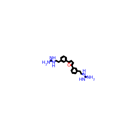 N=C(N)NCCc1cccc(-c2ccc(-c3cccc(CCNC(=N)N)c3)o2)c1